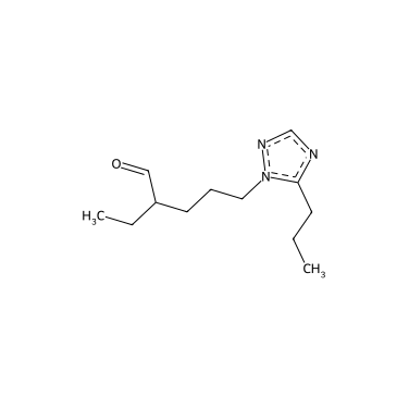 CCCc1ncnn1CCCC(C=O)CC